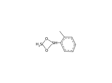 Cc1ccccc1[SiH]1O[SiH2]O1